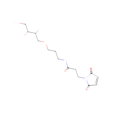 O=C(CCN1C(=O)C=CC1=O)NCCCOCC(O)C(O)CO